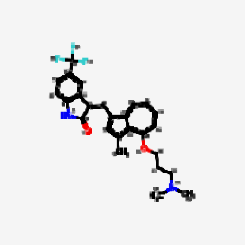 Cc1cc(C=C2C(=O)Nc3ccc(C(F)(F)F)cc32)c2ccccc(OCCCN(C)C)c1-2